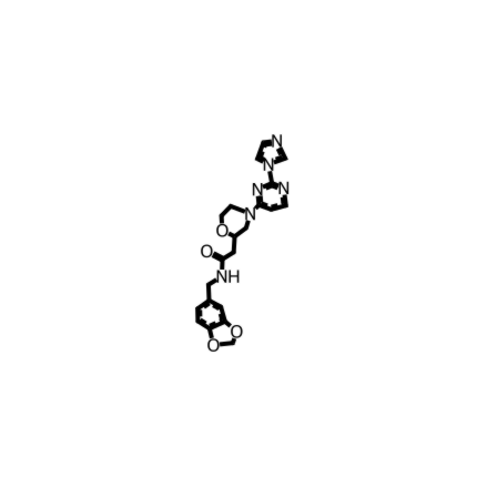 O=C(CC1CN(c2ccnc(-n3ccnc3)n2)CCO1)NCc1ccc2c(c1)OCO2